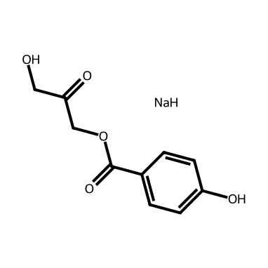 O=C(CO)COC(=O)c1ccc(O)cc1.[NaH]